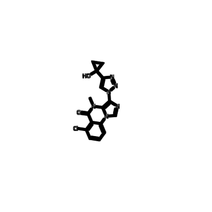 Cn1c(=O)c2c(Cl)cccc2n2cnc(-n3cc(C4(O)CC4)nn3)c12